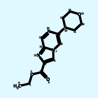 CCOC(=O)c1cn2cc(N3CCOCC3)ncc2n1